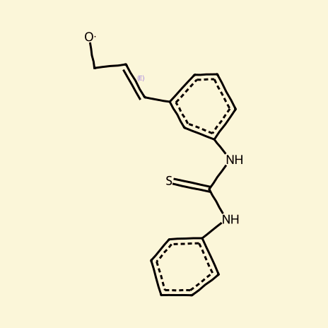 [O]C/C=C/c1cccc(NC(=S)Nc2ccccc2)c1